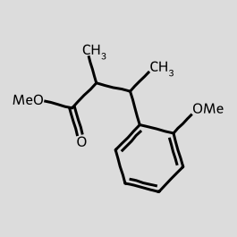 COC(=O)C(C)C(C)c1ccccc1OC